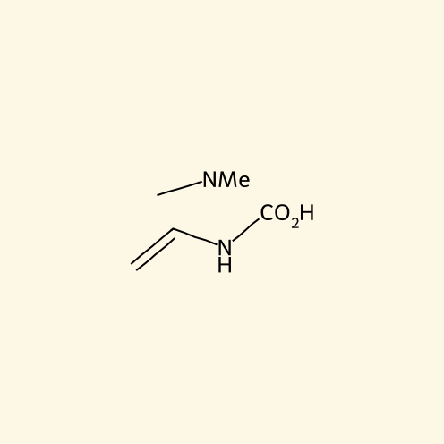 C=CNC(=O)O.CNC